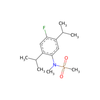 CC(C)c1cc(N(C)S(C)(=O)=O)c(C(C)C)cc1F